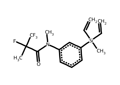 C=C[Si](C)(C=C)c1cccc(N(C)C(=O)C(C)(F)C(F)(F)F)c1